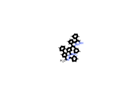 CC(/N=C(\N=C(/N)C1C=C(C2=C(C3C=CCCC3)N/C(=C(\C=N)c3ccccc3)c3ccccc32)C=CC1)C1=CC=CCC1)c1ccc(-c2ccccc2)cc1